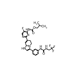 CC(C)COC(=O)Nc1nc(C2=CC3NC=C(c4cccc(NC(=O)NCC(F)(F)F)c4)N3CC2)ncc1F